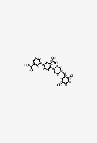 O=C(O)c1cncc(-c2cnc(N3CCC(Oc4cc(Cl)ccc4Cl)CC3)c(C(=O)O)c2)c1